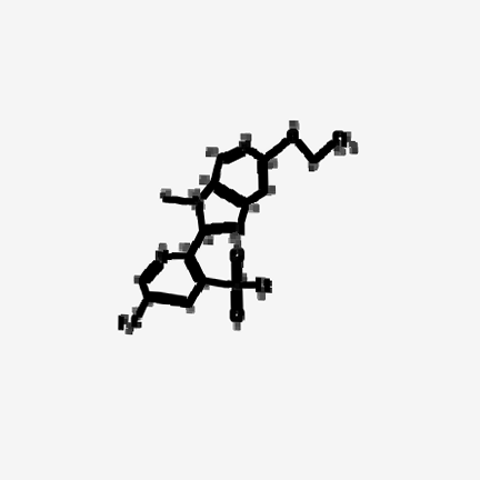 CCS(=O)(=O)c1cc(C(F)(F)F)cnc1-c1nc2cc(OCC(F)(F)F)ncc2n1C